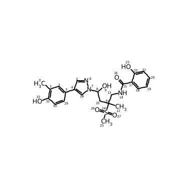 Cc1cc(-c2cnn(C(O)CC(C)(CNC(=O)c3ccccc3O)S(C)(=O)=O)c2)ccc1O